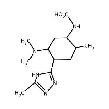 Cc1nnc(C2CC(C)C(NC(=O)O)CC2N(C)C)[nH]1